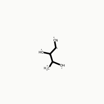 CC(O)C(O)CC#N